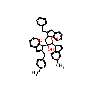 Cc1ccc(CC2=Cc3ccccc3C2C(O)(C(O)C2C=Cc3cc(C)ccc32)C(O)C2C(Cc3ccccc3)=Cc3ccccc32)cc1